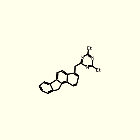 CCc1nc(CC)nc(Cc2cccc3c4c(ccc23)-c2ccccc2C4)n1